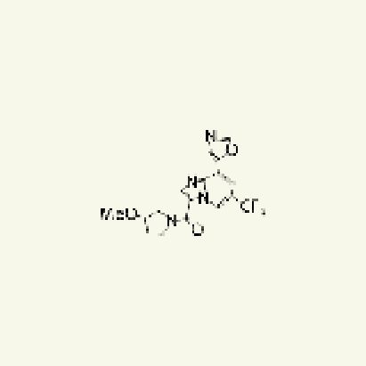 COC1CCN(C(=O)c2cnc3c(-c4cnco4)cc(C(F)(F)F)cn23)C1